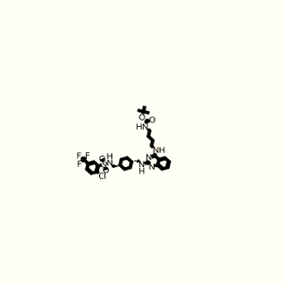 CC(C)(C)OC(=O)NCCCCNc1nc(NC[C@H]2CC[C@H](CNS(=O)(=O)c3cc(C(F)(F)F)ccc3Cl)CC2)nc2ccccc12